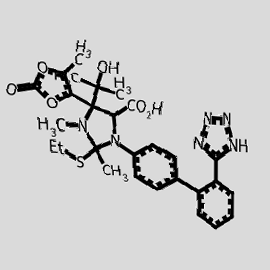 CCSC1(C)N(c2ccc(-c3ccccc3-c3nnn[nH]3)cc2)C(C(=O)O)C(c2oc(=O)oc2C)(C(C)(C)O)N1C